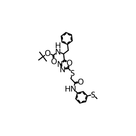 CSc1cccc(NC(=O)CSc2nnc(C(Cc3ccccc3)NC(=O)OC(C)(C)C)o2)c1